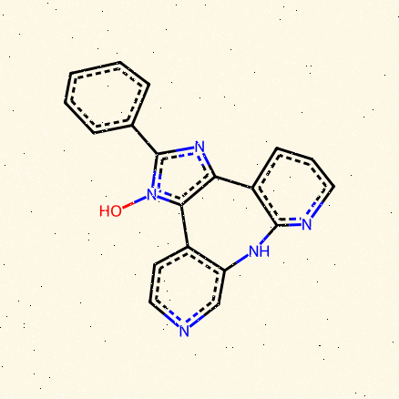 On1c(-c2ccccc2)nc2c1-c1ccncc1Nc1ncccc1-2